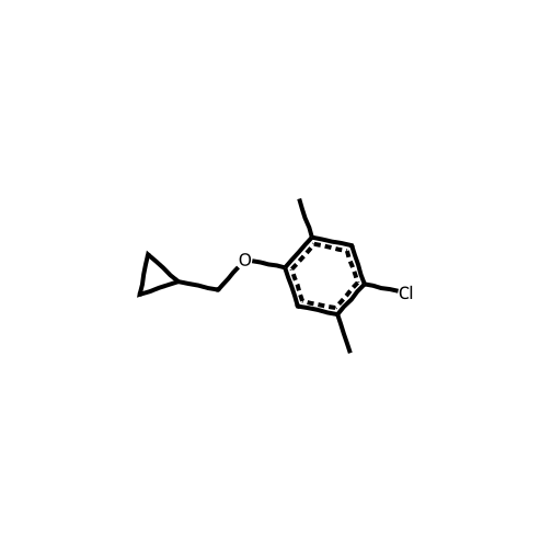 Cc1cc(OCC2CC2)c(C)cc1Cl